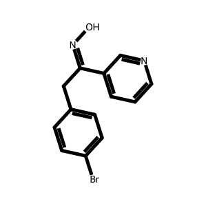 O/N=C(/Cc1ccc(Br)cc1)c1cccnc1